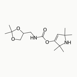 CC1(C)C=C(OC(=O)NCC2COC(C)(C)O2)C(C)(C)N1